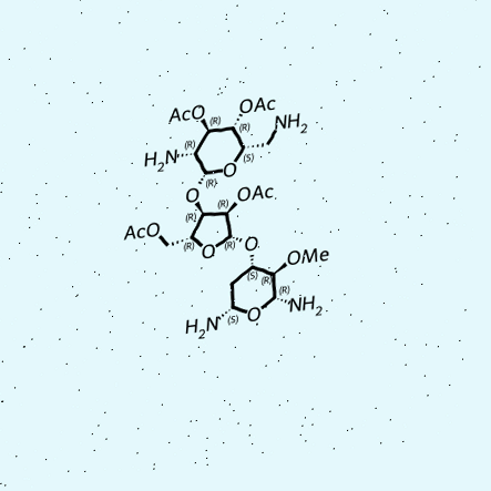 CO[C@H]1[C@H](N)O[C@H](N)C[C@@H]1O[C@@H]1O[C@H](COC(C)=O)[C@@H](O[C@H]2O[C@@H](CN)[C@@H](OC(C)=O)[C@H](OC(C)=O)[C@H]2N)[C@H]1OC(C)=O